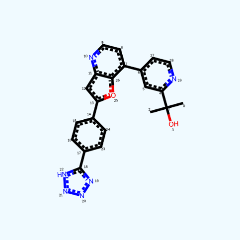 CC(C)(O)c1cc(-c2ccnc3cc(-c4ccc(-c5nnn[nH]5)cc4)oc23)ccn1